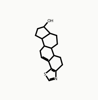 OC1CCC2C1CCC1C3CCc4ncsc4C3=CCC12